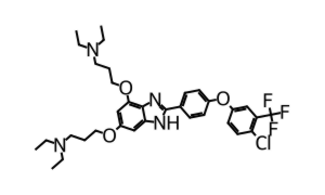 CCN(CC)CCCOc1cc(OCCCN(CC)CC)c2nc(-c3ccc(Oc4ccc(Cl)c(C(F)(F)F)c4)cc3)[nH]c2c1